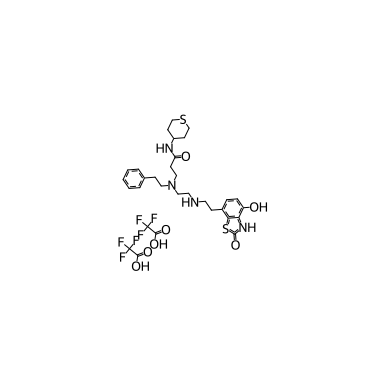 O=C(CCN(CCNCCc1ccc(O)c2[nH]c(=O)sc12)CCc1ccccc1)NC1CCSCC1.O=C(O)C(F)(F)F.O=C(O)C(F)(F)F